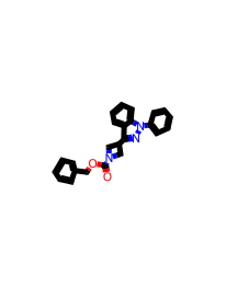 O=C(OCc1ccccc1)N1CC(c2nn(-c3ccccc3)c3ccccc23)C1